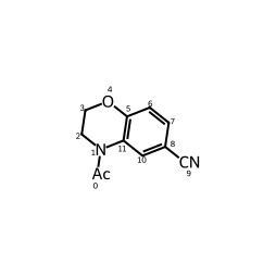 CC(=O)N1CCOc2ccc(C#N)cc21